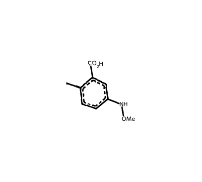 CONc1ccc(C)c(C(=O)O)c1